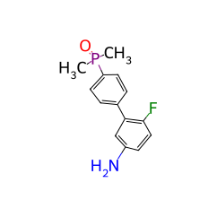 CP(C)(=O)c1ccc(-c2cc(N)ccc2F)cc1